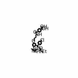 CCNC(=O)C[C@@H]1N=C(c2ccc(Cl)cc2)c2cc(OCCCCNC(=O)c3ccc(B(O)O)cc3)ccc2-n2c(C)nnc21